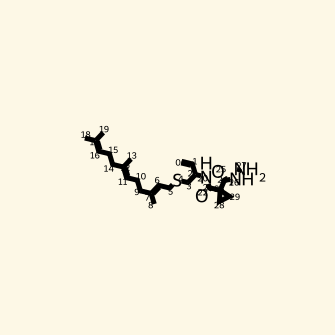 C=CC(CSC/C=C(\C)CC/C=C(\C)CCC=C(C)C)NC(=O)C1(C(=O)NN)CC1